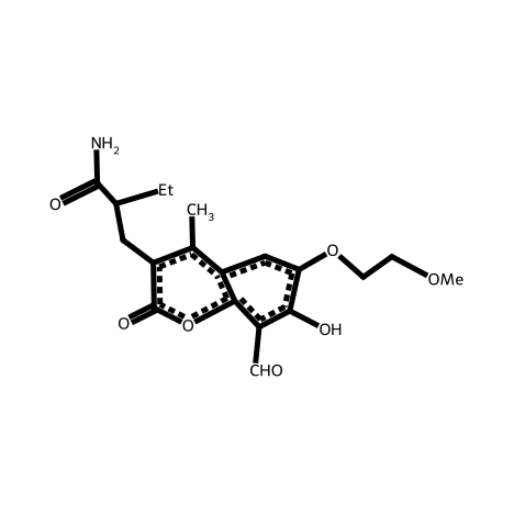 CCC(Cc1c(C)c2cc(OCCOC)c(O)c(C=O)c2oc1=O)C(N)=O